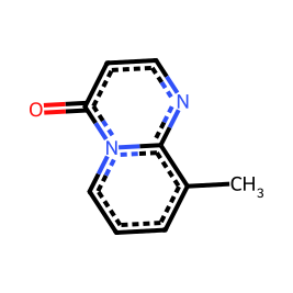 Cc1cccn2c(=O)ccnc12